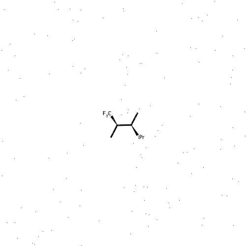 CC(C)[C@H](C)[C@@H](C)C(F)(F)F